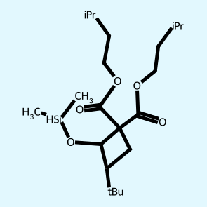 CC(C)CCOC(=O)C1(C(=O)OCCC(C)C)CC(C(C)(C)C)C1O[SiH](C)C